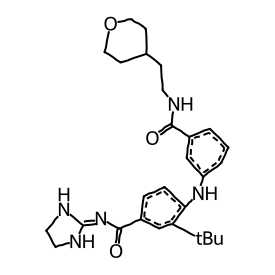 CC(C)(C)c1cc(C(=O)N=C2NCCN2)ccc1Nc1cccc(C(=O)NCCC2CCOCC2)c1